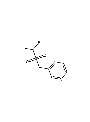 O=S(=O)(Cc1cccnc1)C(F)F